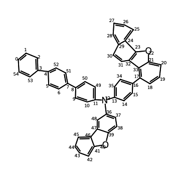 c1ccc(-c2ccc(-c3ccc(N(c4ccc(-c5cccc6oc7c8ccccc8ccc7c56)cc4)c4ccc5oc6ccccc6c5c4)cc3)cc2)cc1